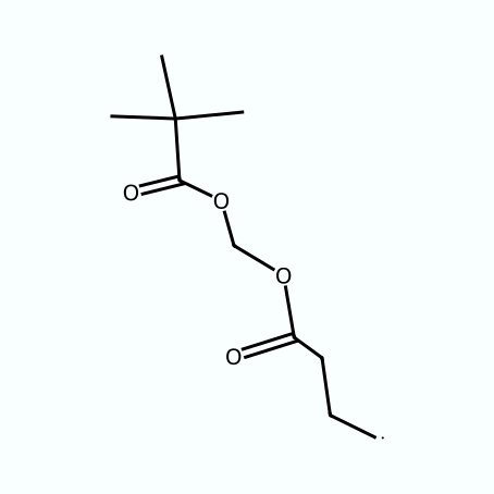 [CH2]CCC(=O)OCOC(=O)C(C)(C)C